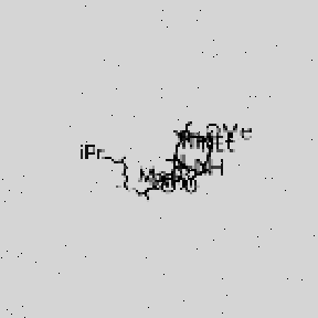 C=Cc1c(C)c2cc3nc(c4c5[nH]c(cc6nc(cc1[nH]2)C(OC)=C6CC)c(C)c5C(=O)C4C(=O)OC)[C@@H](CCC(=O)OC/C=C(\C)CCC[C@H](C)CCCC(C)CCCC(C)C)C3C